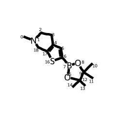 CN1CCc2cc(B3OC(C)(C)C(C)(C)O3)sc2C1